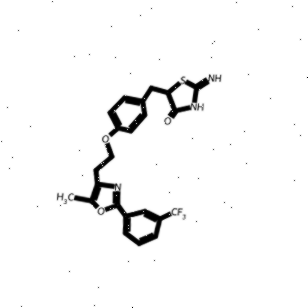 Cc1oc(-c2cccc(C(F)(F)F)c2)nc1CCOc1ccc(CC2SC(=N)NC2=O)cc1